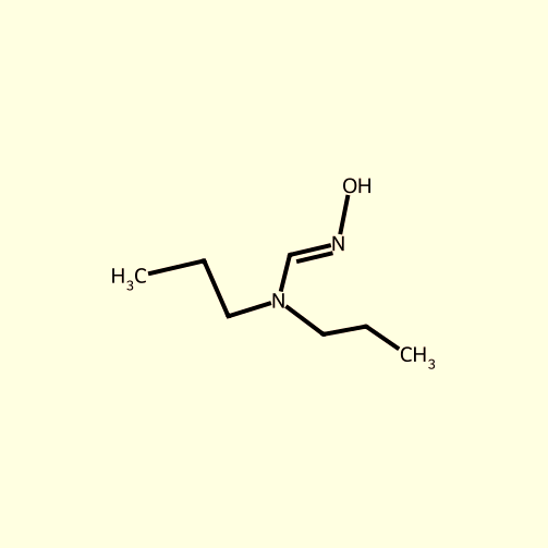 CCCN(C=NO)CCC